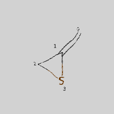 C=C1CS1